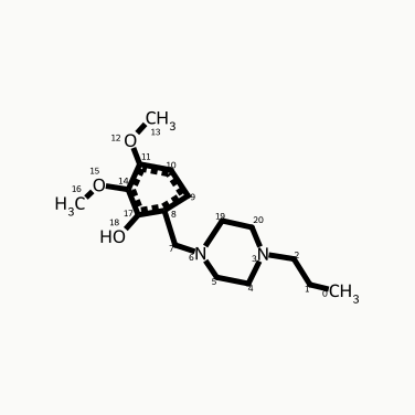 CCCN1CCN(Cc2ccc(OC)c(OC)c2O)CC1